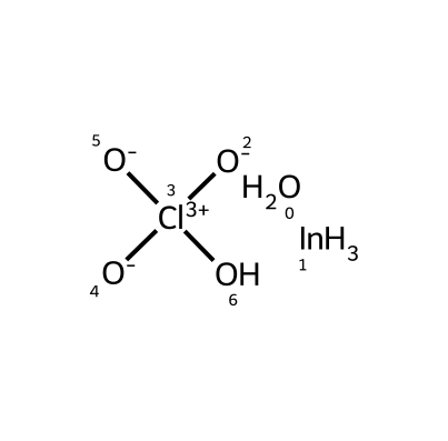 O.[InH3].[O-][Cl+3]([O-])([O-])O